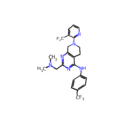 CN(C)Cc1nc2c(c(Nc3ccc(C(F)(F)F)cc3)n1)CCN(c1ncccc1C(F)(F)F)C2